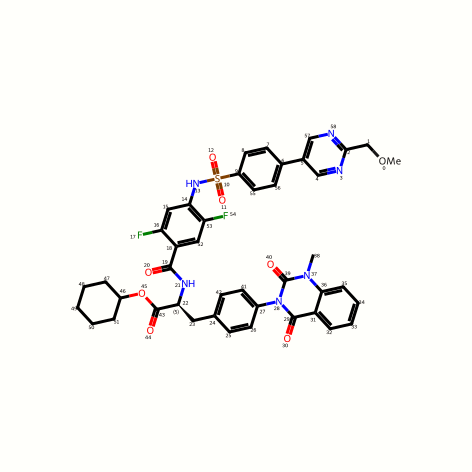 COCc1ncc(-c2ccc(S(=O)(=O)Nc3cc(F)c(C(=O)N[C@@H](Cc4ccc(-n5c(=O)c6ccccc6n(C)c5=O)cc4)C(=O)OC4CCCCC4)cc3F)cc2)cn1